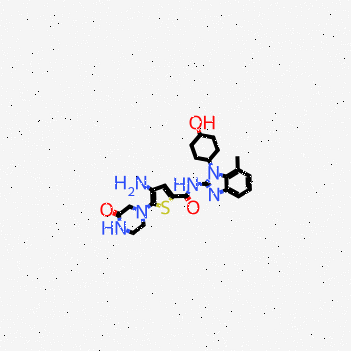 Cc1cccc2nc(NC(=O)c3cc(N)c(N4CCNC(=O)C4)s3)n(C3CCC(O)CC3)c12